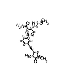 COCCNc1cnc(-c2cccc(C#C[C@@H]3CN(C)C(=O)[C@H]3O)c2)nc1C(N)=O